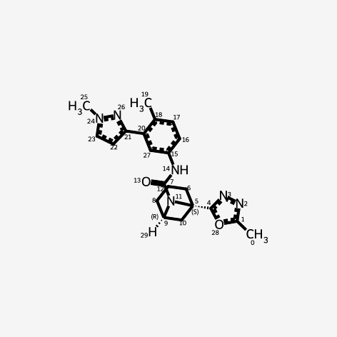 Cc1nnc([C@]23CCC[C@H](C2)N3C(=O)Nc2ccc(C)c(-c3ccn(C)n3)c2)o1